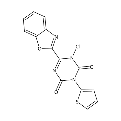 O=c1nc(-c2nc3ccccc3o2)n(Cl)c(=O)n1-c1cccs1